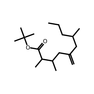 C=C(CC(C)CCC)CC(C)C(C)C(=O)OC(C)(C)C